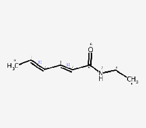 C/C=C/C=C/C(=O)NCC